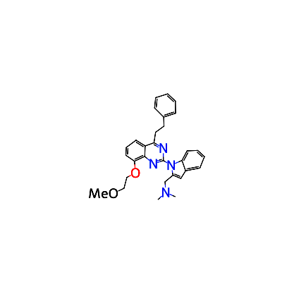 COCCOc1cccc2c(CCc3ccccc3)nc(-n3c(CN(C)C)cc4ccccc43)nc12